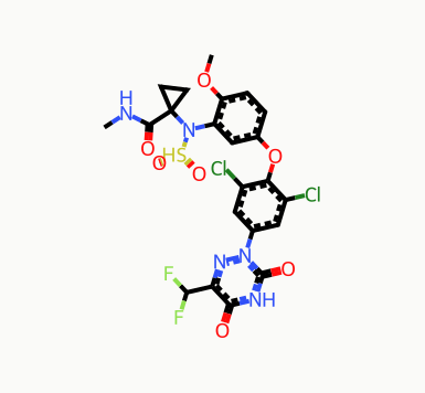 CNC(=O)C1(N(c2cc(Oc3c(Cl)cc(-n4nc(C(F)F)c(=O)[nH]c4=O)cc3Cl)ccc2OC)[SH](=O)=O)CC1